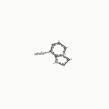 CCCCCc1cccn2ccnc12